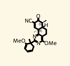 COC1=CC=CCC1(C)c1nc(OC)c2c(n1)[C@@]1(C)C=C(C#N)C(=O)[C@@H](C)[C@@H]1CC2